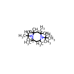 CC1CC(C)N(C(C)(C)C)C(C)(C)CC(C)(C)N1C(C)(C)C